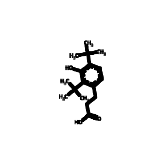 CC(C)(C)c1ccc(CCC(=O)O)c(C(C)(C)C)c1O